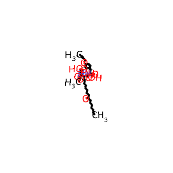 CC#CCOc1ccc(C[C@H](NC(=O)[C@@H](/C=C/CCCCCCC(=O)CCCCCCC)[C@@](O)(CC(=O)O)C(=O)OC)C(=O)O)cc1